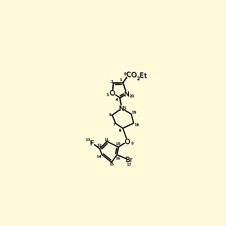 CCOC(=O)c1coc(N2CCC(Oc3cc(F)ccc3Br)CC2)n1